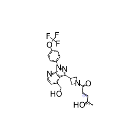 C[C@@H](O)/C=C/C(=O)N1CC(c2nn(-c3ccc(OC(F)(F)F)cc3)c3nccc(CO)c23)C1